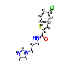 O=C(NCCCn1ccnc1)c1cc2cc(Cl)ccc2s1